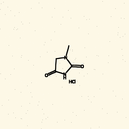 CN1CC(=O)NC1=O.Cl